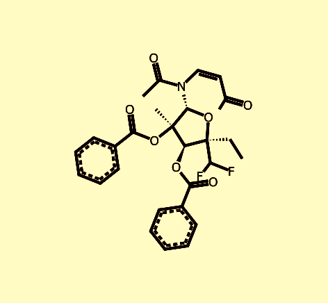 CC[C@@]1(C(F)F)O[C@@H](N(/C=C\C(C)=O)C(C)=O)[C@](C)(OC(=O)c2ccccc2)[C@@H]1OC(=O)c1ccccc1